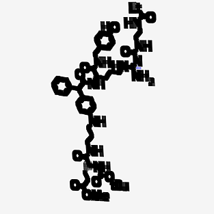 CCC(=O)NCCNC(=O)/N=C(/N)NCCC[C@@H](NC(=O)C(c1ccccc1)c1ccc(NCCCNC(=O)[C@@H](CCC(=O)OC)NC(=O)OC(C)(C)C)cc1)C(=O)NCc1ccc(O)cc1